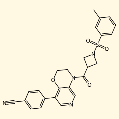 Cc1cccc(S(=O)(=O)N2CC(C(=O)N3CCOc4c(-c5ccc(C#N)cc5)cncc43)C2)c1